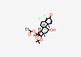 CCC(=O)OCC(=O)[C@@]12OC(C)(C)O[C@@H]1C[C@H]1[C@@H]3C[C@H](F)C4=C(F)C(=O)C=C[C@]4(C)[C@@]3(F)[C@@H](O)C[C@@]12C